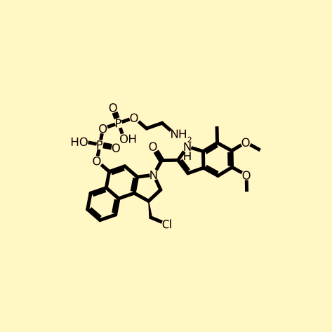 COc1cc2cc(C(=O)N3C[C@@H](CCl)c4c3cc(OP(=O)(O)OP(=O)(O)OCCN)c3ccccc43)[nH]c2c(C)c1OC